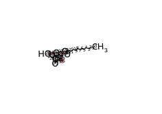 CCCCCCCCCCCCCC(=O)Oc1ccc2c(c1)Oc1cc(O)ccc1C21OC(=O)c2ccccc21